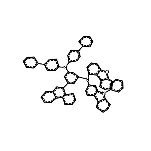 c1ccc(-c2ccc(N(c3ccc(-c4ccccc4)cc3)c3cc(-c4cc5ccccc5c5ccccc45)cc(N(c4ccc5c6ccccc6n(-c6ccccc6)c5c4)c4cccc5oc6ccccc6c45)c3)cc2)cc1